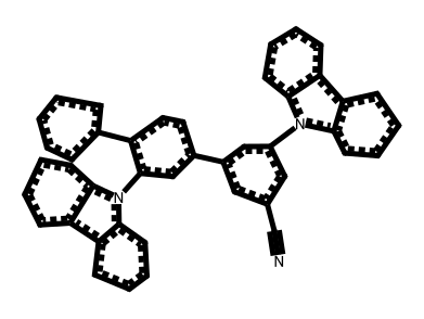 N#Cc1cc(-c2ccc(-c3ccccc3)c(-n3c4ccccc4c4ccccc43)c2)cc(-n2c3ccccc3c3ccccc32)c1